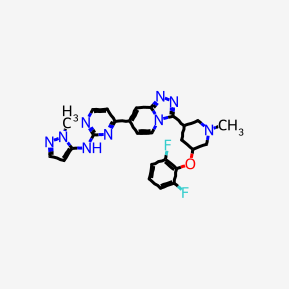 CN1CC(Oc2c(F)cccc2F)CC(c2nnc3cc(-c4ccnc(Nc5ccnn5C)n4)ccn23)C1